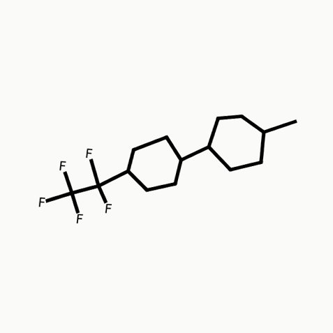 CC1CCC(C2CCC(C(F)(F)C(F)(F)F)CC2)CC1